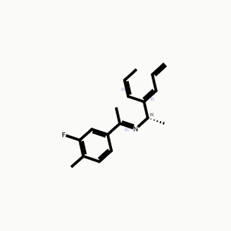 C=C/C=C(\C=C/C)[C@H](C)/N=C(\C)c1ccc(C)c(F)c1